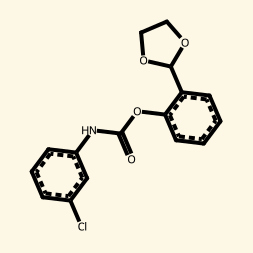 O=C(Nc1cccc(Cl)c1)Oc1ccccc1C1OCCO1